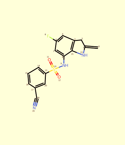 C=C1Cc2cc(F)cc(NS(=O)(=O)c3cccc(C#N)c3)c2N1